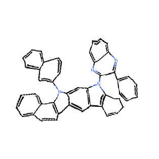 C1=Cc2c(n(-c3nc4ccccc4nc3-c3ccccc3)c3cc4c(cc23)c2ccc3ccccc3c2n4-c2ccc3ccccc3c2)CC1